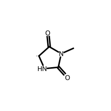 CN1C(=O)[CH]NC1=O